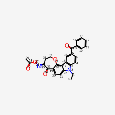 CCn1c2ccc(C(=O)c3ccccc3)cc2c2c3c(ccc21)C(=O)/C(=N/OC(C)=O)CCO3